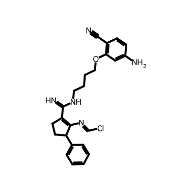 N#Cc1ccc(N)cc1OCCCCNC(=N)C1=C(/N=C/Cl)C(c2ccccc2)CC1